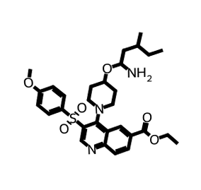 CCOC(=O)c1ccc2ncc(S(=O)(=O)c3ccc(OC)cc3)c(N3CCC(OC(N)CC(C)CC)CC3)c2c1